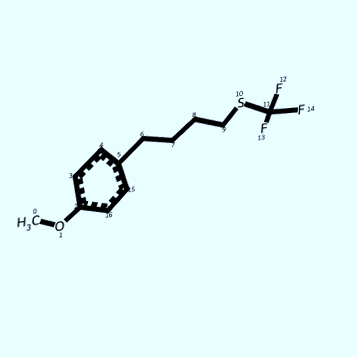 COc1ccc(CCCCSC(F)(F)F)cc1